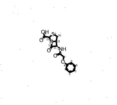 O=C(COc1ccccc1)N[C@H]1C(=O)N2C(C(=O)O)SCC12